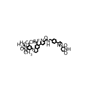 CC(C)c1cc(N2CCCc3cc(-c4ccc(C(=O)NCc5ccc(-c6ccn(C7CCC(=O)NC7=O)n6)cc5)nc4)c(C(F)F)cc32)cc2c1n(C)c(=O)n2C